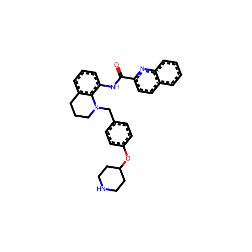 O=C(Nc1cccc2c1N(Cc1ccc(OC3CCNCC3)cc1)CCC2)c1ccc2ccccc2n1